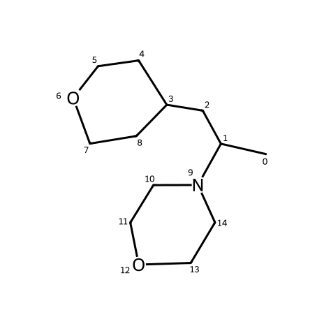 CC(CC1CCOCC1)N1CCOCC1